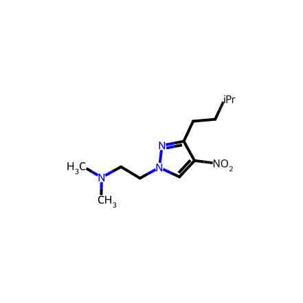 CC(C)CCc1nn(CCN(C)C)cc1[N+](=O)[O-]